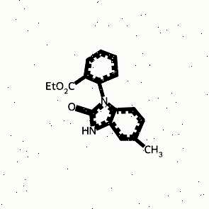 CCOC(=O)c1ccccc1-n1c(=O)[nH]c2cc(C)ccc21